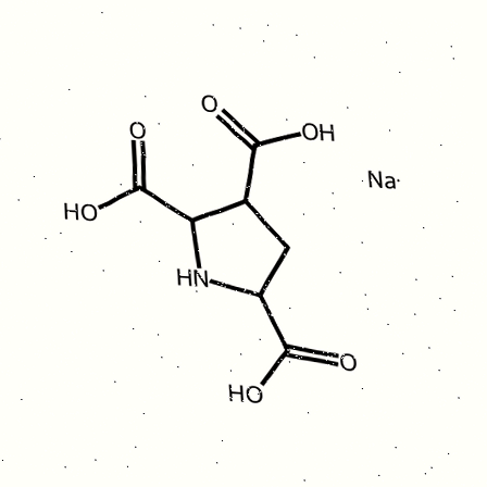 O=C(O)C1CC(C(=O)O)C(C(=O)O)N1.[Na]